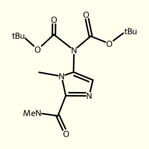 CNC(=O)c1ncc(N(C(=O)OC(C)(C)C)C(=O)OC(C)(C)C)n1C